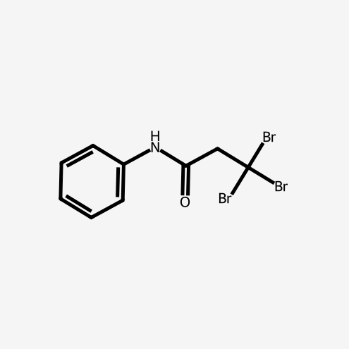 O=C(CC(Br)(Br)Br)Nc1ccccc1